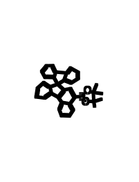 CC1(C)OB(c2cc3c(c4ccccc24)-c2ccccc2C32c3ccccc3-c3ccccc32)OC1(C)C